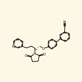 N#Cc1cccc(-c2ccc(OC[C@@H](CCc3cccnc3)N3C(=O)CCC3=O)cc2)c1